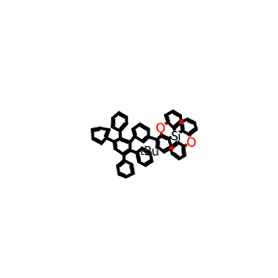 CC(C)(C)c1ccc2c(c1-c1cccc(-c3c(-c4ccccc4)c(-c4ccccc4)cc(-c4ccccc4)c3-c3ccccc3)c1)Oc1ccccc1[Si]21c2ccccc2Oc2ccccc21